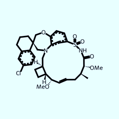 CO[C@H]1/C=C/C[C@H](C)[C@@H](OC)C(=O)NS(=O)(=O)c2ccc3c(c2)N(C[C@@H]2CC[C@H]21)C[C@@]1(CCCc2cc(Cl)ccc21)CO3